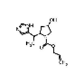 C=CCOC(=O)N1C[C@H](O)C[C@@H]1C(C)c1cnc[nH]1